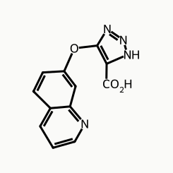 O=C(O)c1[nH]nnc1Oc1ccc2cccnc2c1